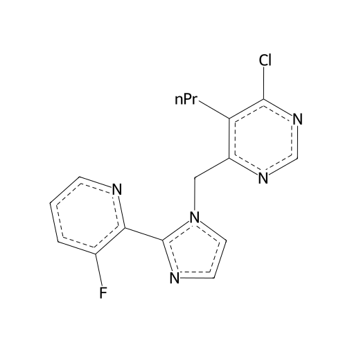 CCCc1c(Cl)ncnc1Cn1ccnc1-c1ncccc1F